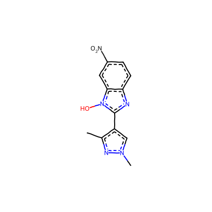 Cc1nn(C)cc1-c1nc2ccc([N+](=O)[O-])cc2n1O